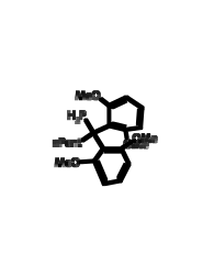 CCCCCC(P)(c1c(OC)cccc1OC)c1c(OC)cccc1OC